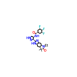 CCN1C(=O)C(C)(C)c2cc3[nH]c(-c4n[nH]cc4NC(=O)c4cc(F)c(F)c(F)c4)nc3cc21